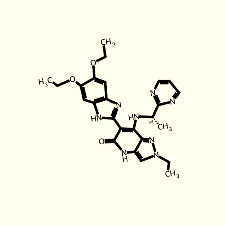 CCOc1cc2nc(-c3c(N[C@@H](C)c4ncccn4)c4nn(CC)cc4[nH]c3=O)[nH]c2cc1OCC